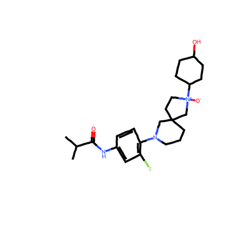 CC(C)C(=O)Nc1ccc(N2CCCC3(CC[N+]([O-])(C4CCC(O)CC4)C3)C2)c(F)c1